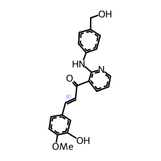 COc1ccc(/C=C/C(=O)c2cccnc2Nc2ccc(CO)cc2)cc1O